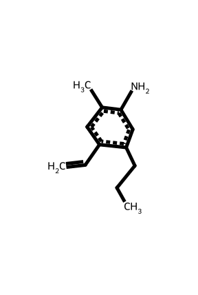 C=Cc1cc(C)c(N)cc1CCC